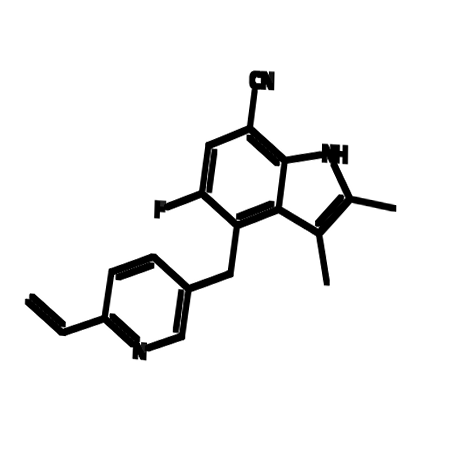 C=Cc1ccc(Cc2c(F)cc(C#N)c3[nH]c(C)c(C)c23)cn1